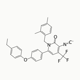 [C-]#[N+]c1c(C(F)(F)F)cc(-c2ccc(Oc3ccc(CC)cc3)cc2)n(Cc2ccc(C)cc2C)c1=O